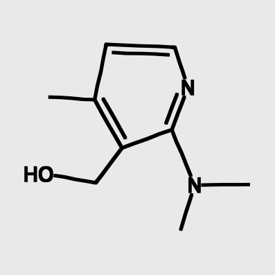 Cc1ccnc(N(C)C)c1CO